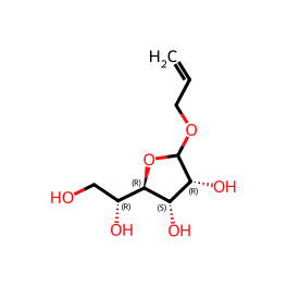 C=CCOC1O[C@H]([C@H](O)CO)[C@@H](O)[C@H]1O